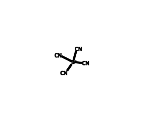 [C-]#[N+][B-](C#N)(C#N)[N+]#[C-]